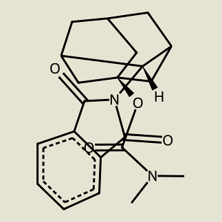 CN(C)C(=O)O[C@]12CC3CC(C1)[C@@H](N1C(=O)c4ccccc4C1=O)C(C3)C2